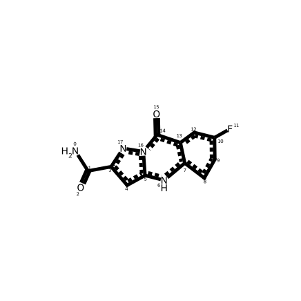 NC(=O)c1cc2[nH]c3ccc(F)cc3c(=O)n2n1